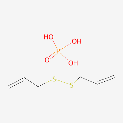 C=CCSSCC=C.O=P(O)(O)O